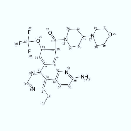 CCc1ncnc(-c2ccc(C(=O)N3CCC(N4CCOCC4)CC3)c(OC(F)(F)F)c2)c1-c1ccc(N)nc1